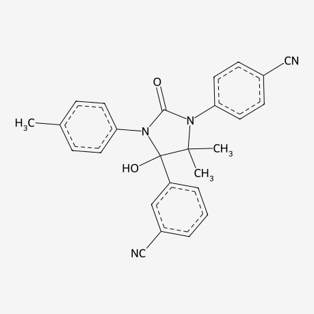 Cc1ccc(N2C(=O)N(c3ccc(C#N)cc3)C(C)(C)C2(O)c2cccc(C#N)c2)cc1